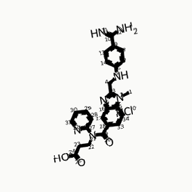 Cl.Cn1c(CNc2ccc(C(=N)N)cc2)nc2cc(C(=O)N(CCC(=O)O)c3ccccn3)ccc21